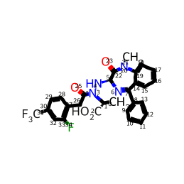 C[C@@H](C(=O)O)N(N[C@@H]1N=C(c2ccccc2)c2ccccc2N(C)C1=O)C(=O)Cc1ccc(C(F)(F)F)cc1F